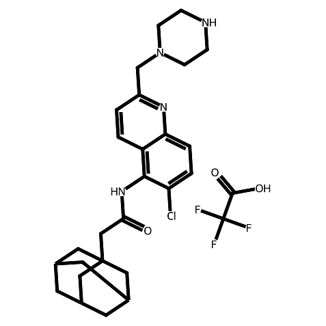 O=C(CC12CC3CC(CC(C3)C1)C2)Nc1c(Cl)ccc2nc(CN3CCNCC3)ccc12.O=C(O)C(F)(F)F